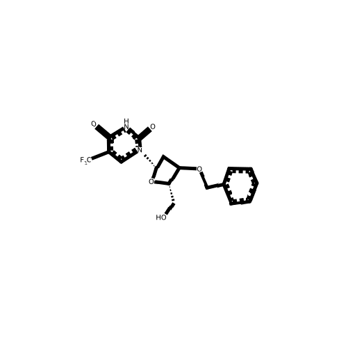 O=c1[nH]c(=O)n([C@@H]2CC(OCc3ccccc3)[C@H](CO)O2)cc1C(F)(F)F